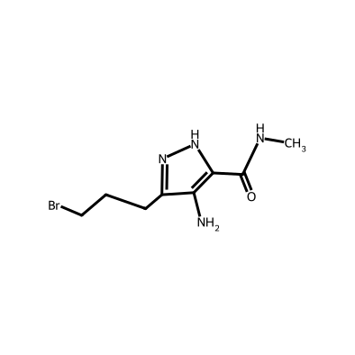 CNC(=O)c1[nH]nc(CCCBr)c1N